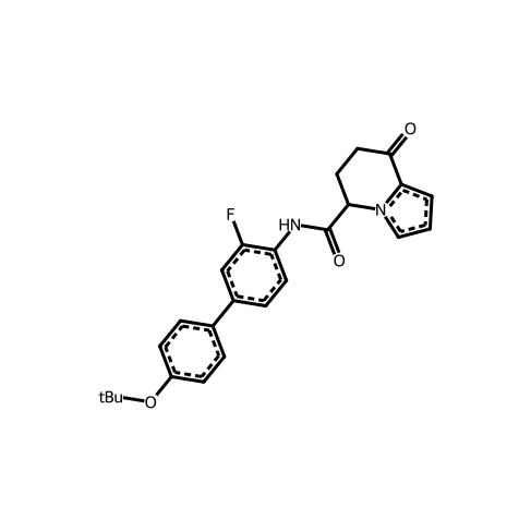 CC(C)(C)Oc1ccc(-c2ccc(NC(=O)C3CCC(=O)c4cccn43)c(F)c2)cc1